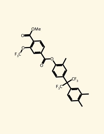 COC(=O)c1ccc(C(=O)Oc2ccc(C(c3ccc(C)c(C)c3)(C(F)(F)F)C(F)(F)F)cc2C)cc1OC(F)(F)F